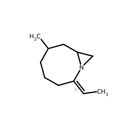 C/C=C1/CCCC(C)CC2CN12